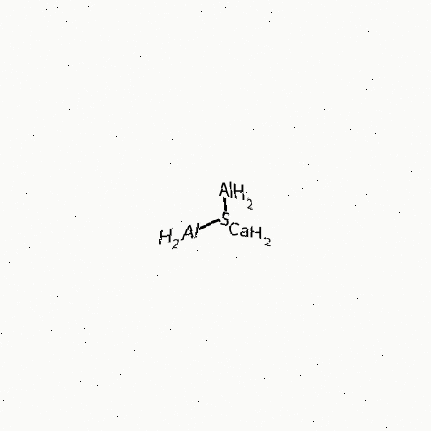 [AlH2][S][AlH2].[CaH2]